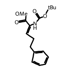 COC(=O)/C(=C/CCc1ccccc1)NC(=O)OC(C)(C)C